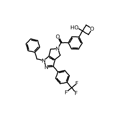 O=C(c1cccc(C2(O)COC2)c1)N1Cc2c(-c3ccc(C(F)(F)F)cc3)nn(Cc3ccccc3)c2C1